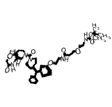 CC(C)(C)OC(=O)NCCOCCC(=O)NCCOc1cccc(C(=C2CCN(C(=O)N3CC[C@@H]4OCC(=O)N[C@@H]4C3)CC2)c2ccccc2)c1